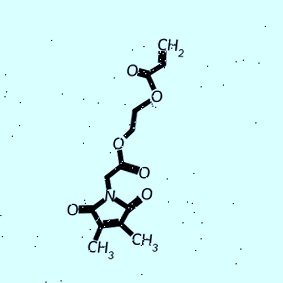 C=CC(=O)OCCOC(=O)CN1C(=O)C(C)=C(C)C1=O